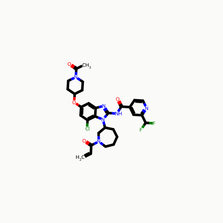 C=CC(=O)N1CCCCC(n2c(NC(=O)c3ccnc(C(F)F)c3)nc3cc(OC4CCN(C(C)=O)CC4)cc(Cl)c32)C1